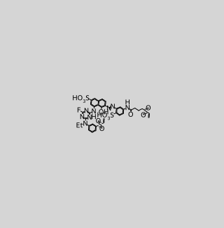 C=CS(=O)(=O)CCCC(=O)Nc1ccc(S(=O)(=O)O)c(/N=N/c2ccc3cc(S(=O)(=O)O)cc(Nc4nc(F)nc(N(CC)c5cccc(S(=O)(=O)C=C)c5)n4)c3c2O)c1